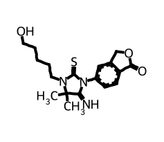 CC1(C)C(=N)N(c2ccc3c(c2)COC3=O)C(=S)N1CCCCCO